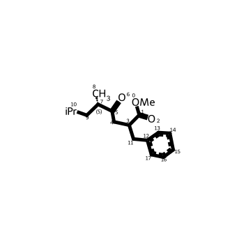 COC(=O)C(CC(=O)[C@@H](C)CC(C)C)Cc1ccccc1